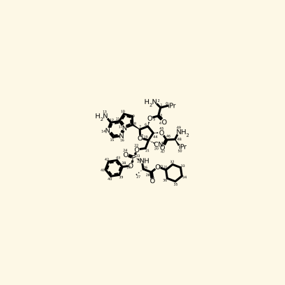 CC(C)C(N)C(=O)O[C@H]1[C@H](c2ccc3c(N)ncnn23)O[C@](C#N)(CO[P@@](=O)(N[C@@H](C)C(=O)OC2CCCCC2)Oc2ccccc2)[C@H]1OC(=O)[C@@H](N)C(C)C